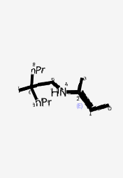 C/C=C(\C)NCC(C)(CCC)CCC